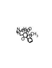 Cc1nccn1CC1CCc2c(c3ccccc3n2C)C1=O.O.O